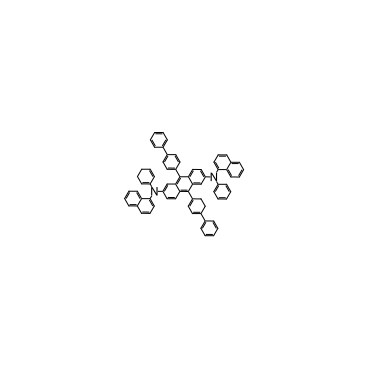 C1=CC(N(c2ccc3c(C4=CC=C(c5ccccc5)CC4)c4cc(N(c5ccccc5)c5cccc6ccccc56)ccc4c(-c4ccc(-c5ccccc5)cc4)c3c2)c2cccc3ccccc23)=CCC1